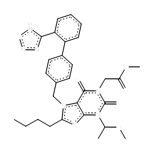 CCCCc1nc2c(c(=O)n(CC(=O)OC)c(=O)n2C(C)OC)n1Cc1ccc(-c2ccccc2-c2nnn[nH]2)cc1